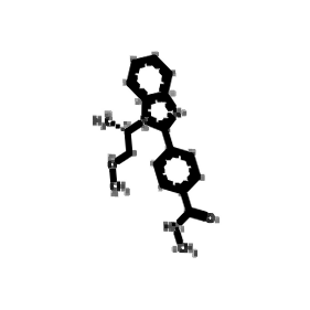 CNC(=O)c1ccc(-c2nc3ccccc3n2[C@@H](C)COC)cc1